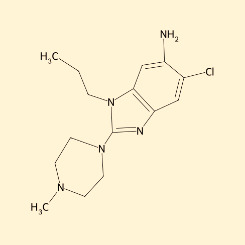 CCCn1c(N2CCN(C)CC2)nc2cc(Cl)c(N)cc21